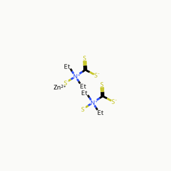 CC[N+]([S-])(CC)C(=S)[S-].CC[N+]([S-])(CC)C(=S)[S-].[Zn+2]